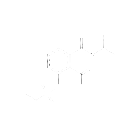 CCS(=O)(=O)Oc1cccc(C(=O)NC(C)C)c1C(=O)O